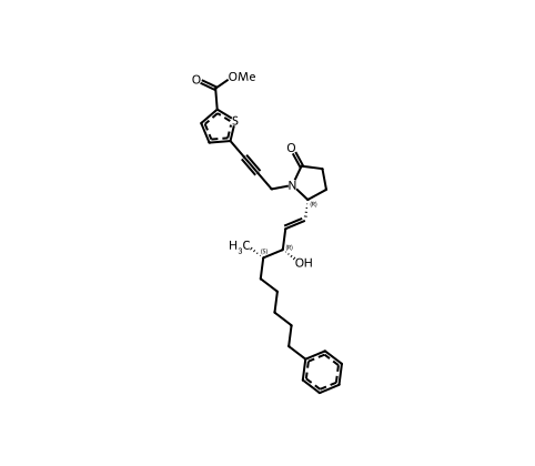 COC(=O)c1ccc(C#CCN2C(=O)CC[C@@H]2C=C[C@H](O)[C@@H](C)CCCCCc2ccccc2)s1